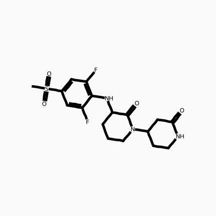 CS(=O)(=O)c1cc(F)c(NC2CCCN(C3CCNC(=O)C3)C2=O)c(F)c1